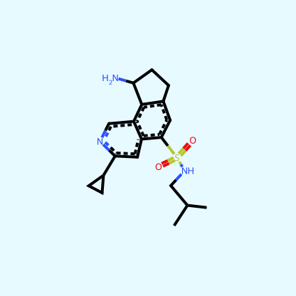 CC(C)CNS(=O)(=O)c1cc2c(c3cnc(C4CC4)cc13)C(N)CC2